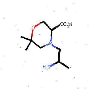 CC(N)CN1CC(C)(C)OCC1C(=O)O